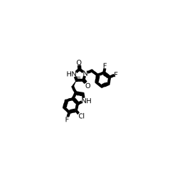 O=C1N[C@H](Cc2c[nH]c3c(Cl)c(F)ccc23)C(=O)N1Cc1cccc(F)c1F